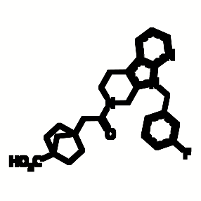 O=C(CC12CCC(C(=O)O)(CC1)C2)N1CCc2c(n(Cc3cccc(F)c3)c3ncccc23)C1